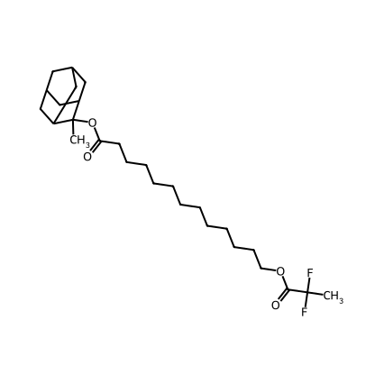 CC(F)(F)C(=O)OCCCCCCCCCCCCC(=O)OC1(C)C2CC3CC(C2)CC1C3